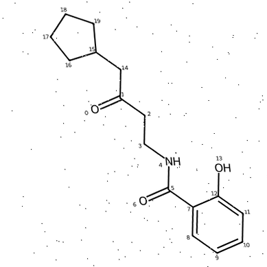 O=C(CCNC(=O)c1ccccc1O)CC1CCCC1